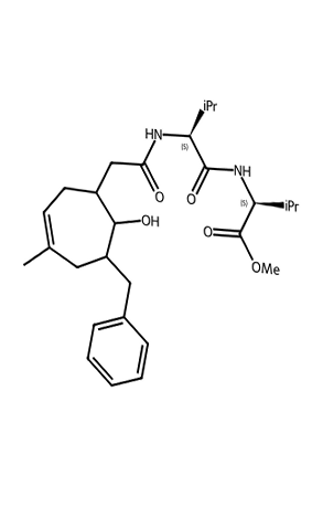 COC(=O)[C@@H](NC(=O)[C@@H](NC(=O)CC1CC=C(C)CC(Cc2ccccc2)C1O)C(C)C)C(C)C